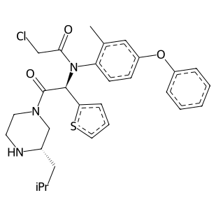 Cc1cc(Oc2ccccc2)ccc1N(C(=O)CCl)[C@H](C(=O)N1CCN[C@@H](CC(C)C)C1)c1cccs1